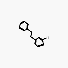 Clc1cccc(CCc2ccccc2)c1